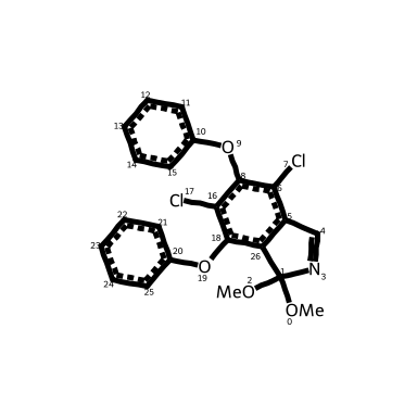 COC1(OC)N=Cc2c(Cl)c(Oc3ccccc3)c(Cl)c(Oc3ccccc3)c21